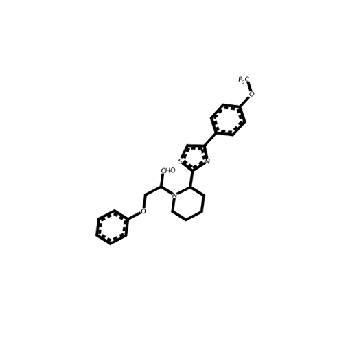 O=CC(COc1ccccc1)N1CCCCC1c1nc(-c2ccc(OC(F)(F)F)cc2)cs1